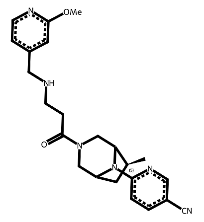 COc1cc(CNCCC(=O)N2CC3C[C@H](C)C(C2)N3c2ccc(C#N)cn2)ccn1